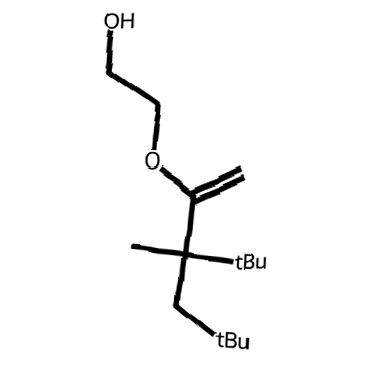 C=C(OCCO)C(C)(CC(C)(C)C)C(C)(C)C